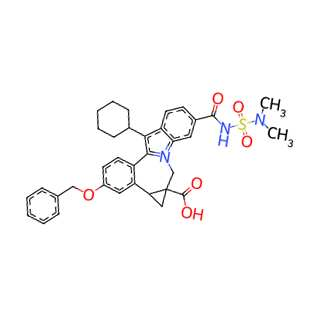 CN(C)S(=O)(=O)NC(=O)c1ccc2c(C3CCCCC3)c3n(c2c1)CC1(C(=O)O)CC1c1cc(OCc2ccccc2)ccc1-3